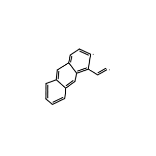 [CH]=Cc1[c]ccc2cc3ccccc3cc12